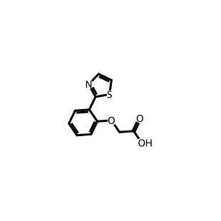 O=C(O)COc1ccccc1-c1nccs1